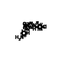 N[C@H]1CC[C@H](CNc2nc(NCc3ccc(Cl)cc3F)ncc2[N+](=O)[O-])CC1